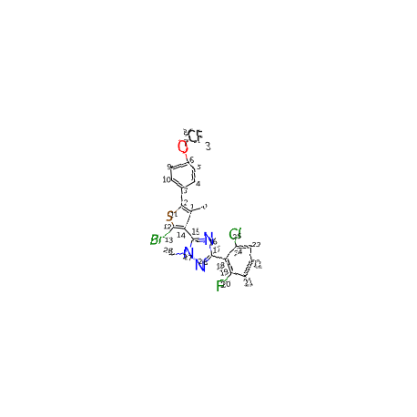 Cc1c(-c2ccc(OC(F)(F)F)cc2)sc(Br)c1-c1nc(-c2c(F)cccc2Cl)nn1C